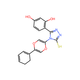 Oc1ccc(-c2nnc(S)n2C2=COC(C3=CC=CCC3)=CO2)c(O)c1